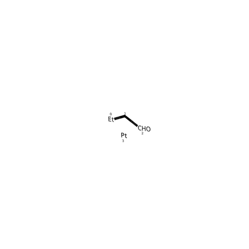 CCCC=O.[Pt]